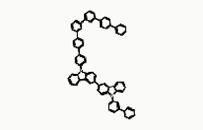 c1ccc(-c2ccc(-c3cccc(-c4cccc(-c5ccc(-c6ccc(-n7c8ccccc8c8cc(-c9ccc%10c(c9)c9ccccc9n%10-c9cccc(-c%10ccccc%10)c9)ccc87)cc6)cc5)c4)c3)cc2)cc1